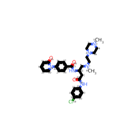 CN1CCN(CCN(C)CC(CC(=O)Nc2ccc(Cl)cc2)NC(=O)c2ccc(-n3ccccc3=O)cc2)CC1